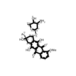 COc1cccc2c1C(=O)c1c(O)c3c(c(O)c1C2=O)C[C@@](O)(C(C)=O)C[C@@H]3O[C@@H]1CC(N)C(O)[C@H](C)O1